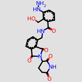 NNc1cccc(C(=O)NCc2cccc3c2C(=O)N(C2CCC(=O)NC2=O)C3=O)c1CO